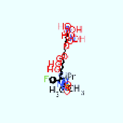 CC(C)c1nc(N(C)S(C)(=O)=O)nc(-c2ccc(F)cc2)c1/C=C/C(O)CC(O)CC(=O)OCCCOCC(CCON(O)O)ON(O)O